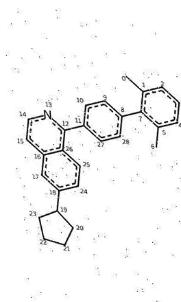 Cc1cccc(C)c1-c1ccc(-c2nccc3cc(C4CCCC4)ccc23)cc1